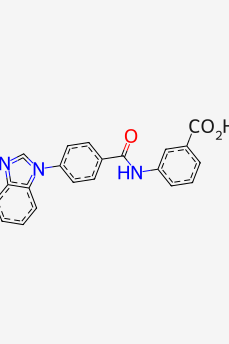 O=C(O)c1cccc(NC(=O)c2ccc(-n3cnc4ccccc43)cc2)c1